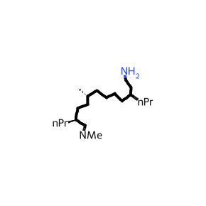 CCCC(CCN)CCCC[C@@H](C)CC[C@H](CCC)CNC